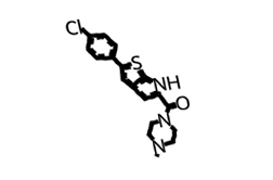 CN1CCN(C(=O)c2cc3cc(-c4ccc(Cl)cc4)sc3[nH]2)CC1